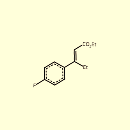 CCOC(=O)C=C(CC)c1ccc(F)cc1